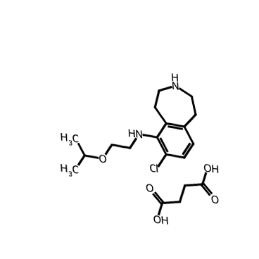 CC(C)OCCNc1c(Cl)ccc2c1CCNCC2.O=C(O)CCC(=O)O